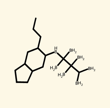 BC(B)C(B)(B)C(B)(B)BC1CC2CCCC2CC1CCC